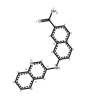 NC(=O)c1ccc2ccc(Nc3cnc4ccccc4c3)cc2c1